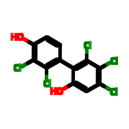 Oc1ccc(-c2c(O)cc(Cl)c(Cl)c2Cl)c(Cl)c1Cl